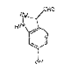 O=CC1NNc2cc(O)ccc21